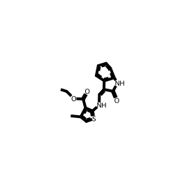 CCOC(=O)c1c(C)csc1NC=C1C(=O)Nc2ccccc21